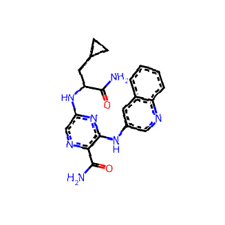 NC(=O)c1ncc(NC(CC2CC2)C(N)=O)nc1Nc1cnc2ccccc2c1